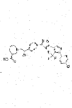 O=C(O)[C@H]1CCCN(C[C@H](O)c2ccc(-c3noc(-c4cnn(-c5ccc(Cl)cn5)c4C(F)(F)F)n3)cc2)C1